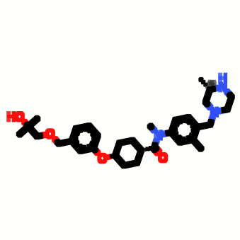 Cc1cc(N(C)C(=O)[C@H]2CC[C@H](Oc3cccc(COCC(C)(C)O)c3)CC2)ccc1CN1CCN[C@@H](C)C1